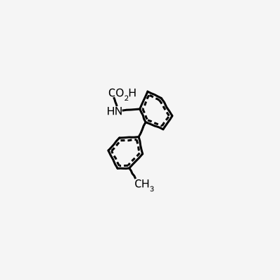 Cc1cccc(-c2ccccc2NC(=O)O)c1